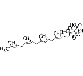 CCOP(=O)(CC/C=C(\C)CC/C=C(\C)CC/C=C(\C)CCC=C(C)C)C(CC)(CC)P(=O)(O)O